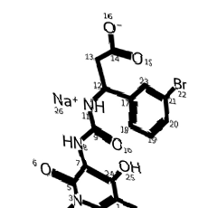 Cc1cn(C)c(=O)c(NC(=O)NC(CC(=O)[O-])c2cccc(Br)c2)c1O.[Na+]